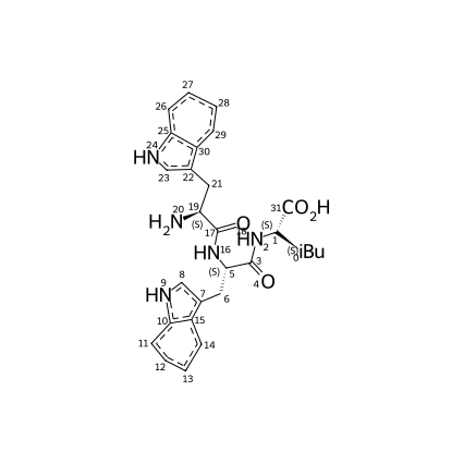 CC[C@H](C)[C@H](NC(=O)[C@H](Cc1c[nH]c2ccccc12)NC(=O)[C@@H](N)Cc1c[nH]c2ccccc12)C(=O)O